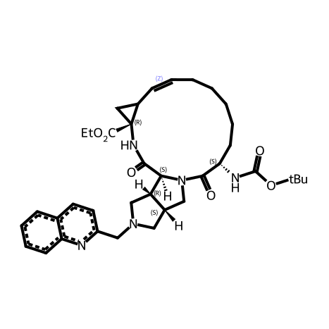 CCOC(=O)[C@@]12CC1/C=C\CCCCC[C@H](NC(=O)OC(C)(C)C)C(=O)N1C[C@@H]3CN(Cc4ccc5ccccc5n4)C[C@@H]3[C@H]1C(=O)N2